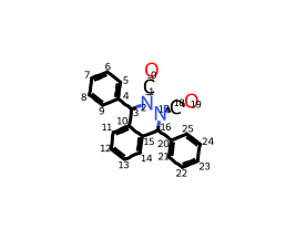 O=C=NC(c1ccccc1)c1ccccc1C(N=C=O)c1ccccc1